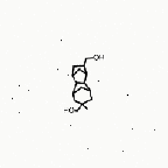 CC1(CO)CC2CC(C1)C1C3CC(CC3CO)C21